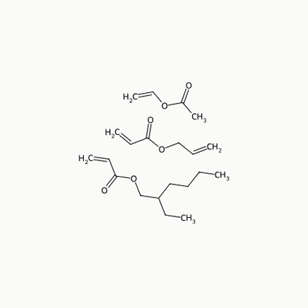 C=CC(=O)OCC(CC)CCCC.C=CCOC(=O)C=C.C=COC(C)=O